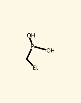 CCCP(O)O